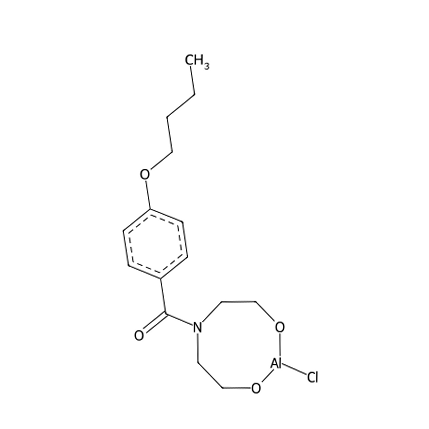 CCCCOc1ccc(C(=O)N2CC[O][Al]([Cl])[O]CC2)cc1